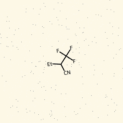 CCC(C#N)C(F)(F)F